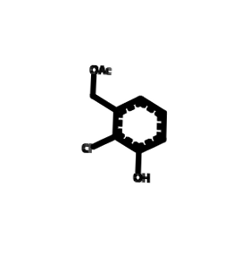 CC(=O)OCc1cccc(O)c1Cl